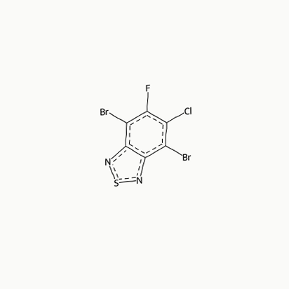 Fc1c(Cl)c(Br)c2nsnc2c1Br